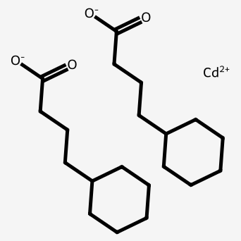 O=C([O-])CCCC1CCCCC1.O=C([O-])CCCC1CCCCC1.[Cd+2]